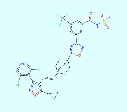 CS(=O)(=O)NC(=O)c1cc(-c2noc(C34CCC(C=Cc5c(-c6c(Cl)cncc6Cl)noc5C5CC5)(CC3)CC4)n2)cc(C(F)(F)F)c1